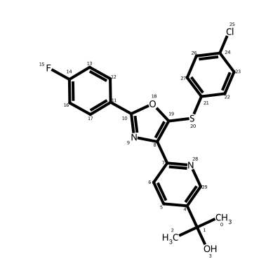 CC(C)(O)c1ccc(-c2nc(-c3ccc(F)cc3)oc2Sc2ccc(Cl)cc2)nc1